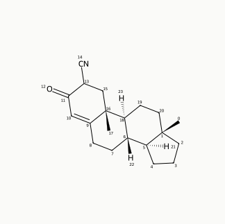 C[C@@]12CCC[C@H]1[C@@H]1CCC3=CC(=O)C(C#N)C[C@]3(C)[C@H]1CC2